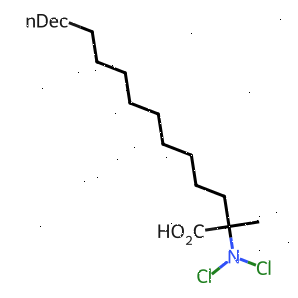 CCCCCCCCCCCCCCCCCCCC(C)(C(=O)O)N(Cl)Cl